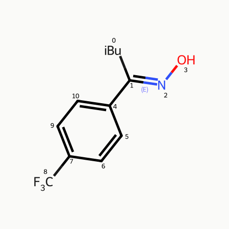 CCC(C)/C(=N\O)c1ccc(C(F)(F)F)cc1